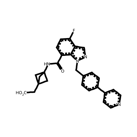 O=C(O)CC12CC(NC(=O)c3ccc(F)c4cnn(Cc5ccc(-c6ccncc6)cc5)c34)(C1)C2